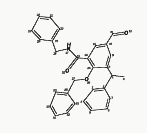 CC(c1ccccc1)c1cc(C=O)cc(C(=O)NCc2ccccc2)c1OCc1ccccc1